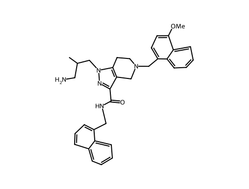 COc1ccc(CN2CCc3c(c(C(=O)NCc4cccc5ccccc45)nn3CC(C)CN)C2)c2ccccc12